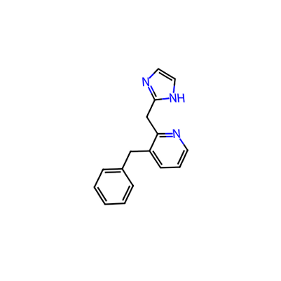 c1ccc(Cc2cccnc2Cc2ncc[nH]2)cc1